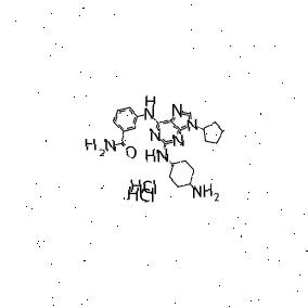 Cl.Cl.NC(=O)c1cccc(Nc2nc(N[C@H]3CC[C@H](N)CC3)nc3c2ncn3C2CCCC2)c1